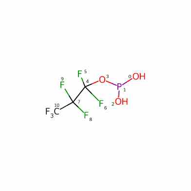 OP(O)OC(F)(F)C(F)(F)C(F)(F)F